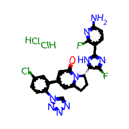 Cl.Cl.Nc1ccc(-c2nc(F)c([C@@H]3CCc4cc(-c5cc(Cl)ccc5-n5cnnn5)cc(=O)n43)[nH]2)c(F)n1